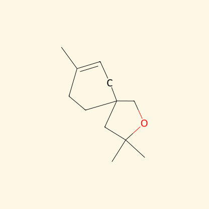 CC1=CCC2(CC1)COC(C)(C)C2